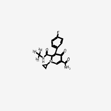 [2H]C([2H])([2H])NC(=O)c1c(-c2ccc(F)cc2)c(=O)c(C(N)=O)cn1C1CC1